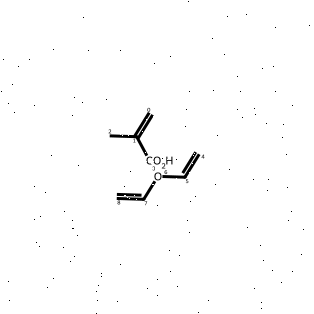 C=C(C)C(=O)O.C=COC=C